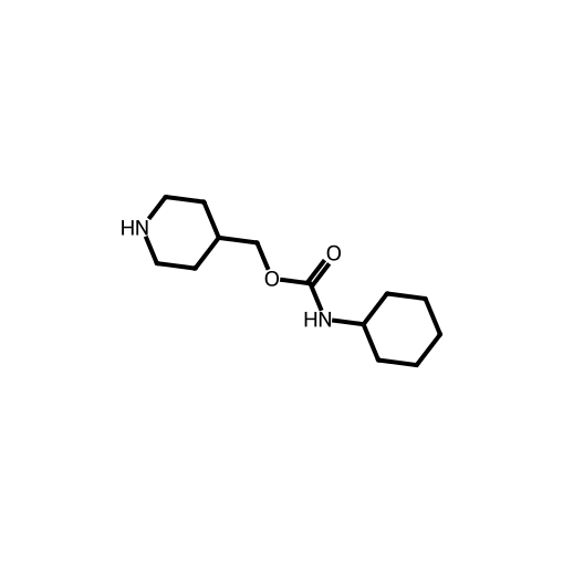 O=C(NC1CCCCC1)OCC1CCNCC1